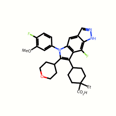 CCC1(C(=O)O)CCC(c2c(C3CCOCC3)n(-c3ccc(F)c(OC)c3)c3cc4cn[nH]c4c(F)c23)CC1